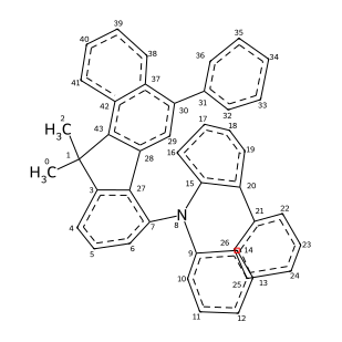 CC1(C)c2cccc(N(c3ccccc3)c3ccccc3-c3ccccc3)c2-c2cc(-c3ccccc3)c3ccccc3c21